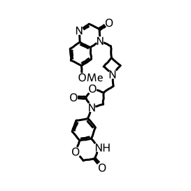 COc1ccc2ncc(=O)n(CC3CN(CC4CN(c5ccc6c(c5)NC(=O)CO6)C(=O)O4)C3)c2c1